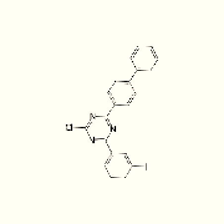 Clc1nc(-c2ccc(-c3ccccc3)cc2)nc(-c2cccc(I)c2)n1